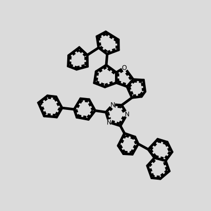 c1ccc(-c2ccc(-c3nc(-c4cccc(-c5cccc6ccccc56)c4)nc(-c4cccc5oc6c(-c7ccccc7-c7ccccc7)cccc6c45)n3)cc2)cc1